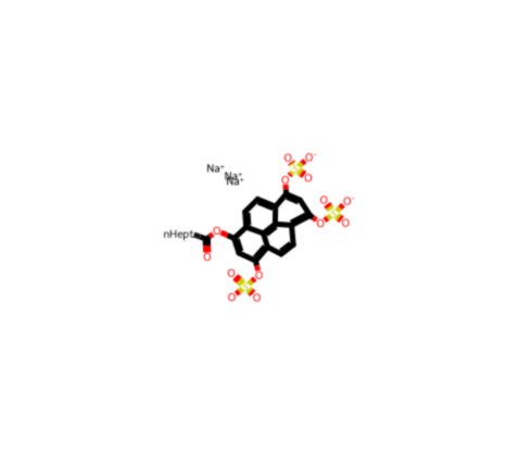 CCCCCCCC(=O)Oc1cc(OS(=O)(=O)[O-])c2ccc3c(OS(=O)(=O)[O-])cc(OS(=O)(=O)[O-])c4ccc1c2c43.[Na+].[Na+].[Na+]